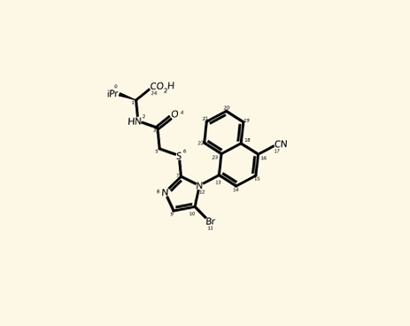 CC(C)[C@H](NC(=O)CSc1ncc(Br)n1-c1ccc(C#N)c2ccccc12)C(=O)O